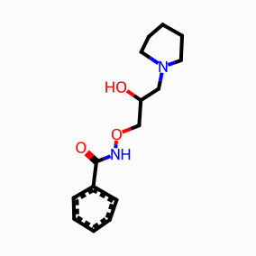 O=C(NOCC(O)CN1CCCCC1)c1ccccc1